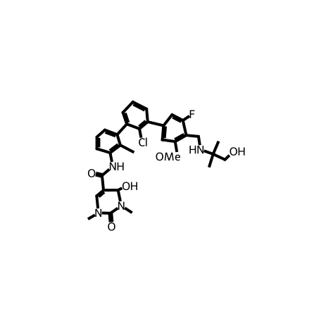 COc1cc(-c2cccc(-c3cccc(NC(=O)C4=CN(C)C(=O)N(C)C4O)c3C)c2Cl)cc(F)c1CNC(C)(C)CO